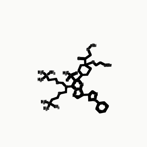 CCCCOCC(=O)C1(OCCOC)CCC(c2nc3c(-c4cnn(-c5ccccc5)c4)cnn3c(N(COCC[Si](C)(C)C)COCC[Si](C)(C)C)c2S(C)(=O)=O)CC1